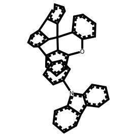 c1ccc2c(c1)Oc1ccccc1C21c2ccccc2-c2cccc(-c3ccc(-n4c5ccccc5c5ccccc54)cc3)c21